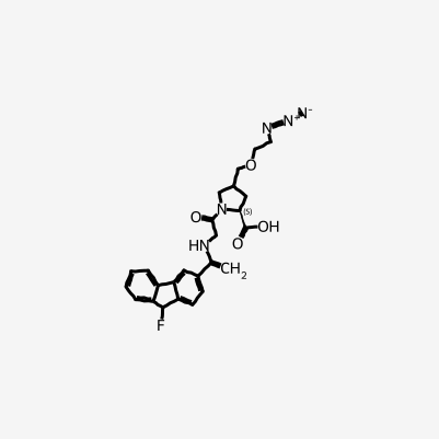 C=C(NCC(=O)N1CC(COCCN=[N+]=[N-])C[C@H]1C(=O)O)c1ccc2c(c1)-c1ccccc1C2F